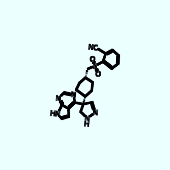 N#Cc1ccccc1S(=O)(=O)C[C@H]1CC[C@@H](C2(c3ncnc4[nH]ccc34)C=NNC2)CC1